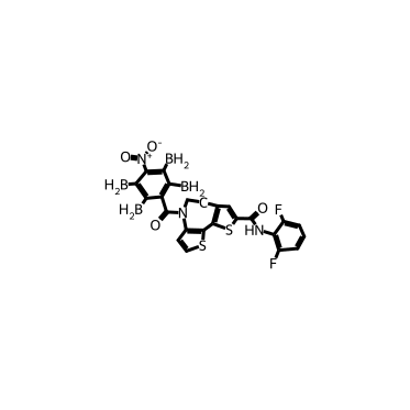 Bc1c(B)c([N+](=O)[O-])c(B)c(B)c1C(=O)N1CCc2cc(C(=O)Nc3c(F)cccc3F)sc2-c2sccc21